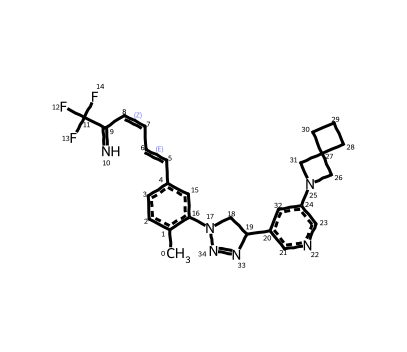 Cc1ccc(/C=C/C=C\C(=N)C(F)(F)F)cc1N1CC(c2cncc(N3CC4(CCC4)C3)c2)N=N1